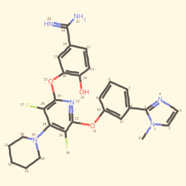 Cn1ccnc1-c1cccc(Oc2nc(Oc3cc(C(=N)N)ccc3O)c(F)c(N3CCCCC3)c2F)c1